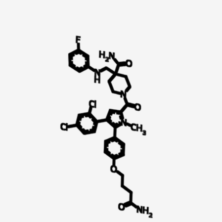 Cn1c(C(=O)N2CCC(CNc3cccc(F)c3)(C(N)=O)CC2)cc(-c2ccc(Cl)cc2Cl)c1-c1ccc(OCCCC(N)=O)cc1